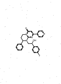 O=c1cc(-c2ccncc2)nc2n1CCC(c1ccccc1)N2CC(O)c1ccc(F)cc1